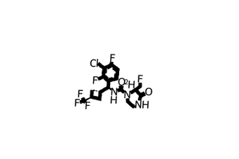 [2H][C@@]1(CF)C(=O)NCCN1C(=O)N[C@H](c1ccc(F)c(Cl)c1F)[C@H]1C[C@H](C(F)(F)F)C1